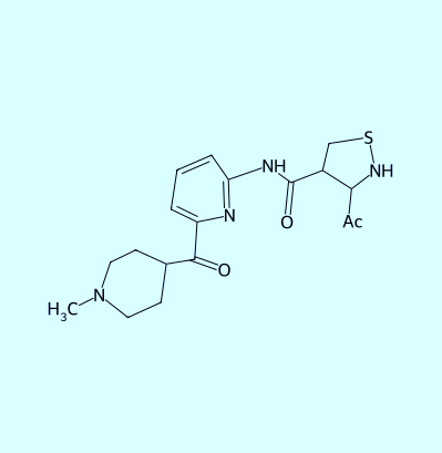 CC(=O)C1NSCC1C(=O)Nc1cccc(C(=O)C2CCN(C)CC2)n1